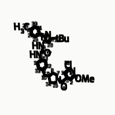 COc1cc(C(=O)N2CCC(Cc3ccc(NC(=O)Nc4cc(C(C)(C)C)nn4-c4ccc(C)cc4)cc3)CC2)cc(Cl)n1